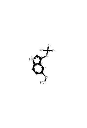 COc1ccc2[nH]cc(SC(F)(F)F)c2c1